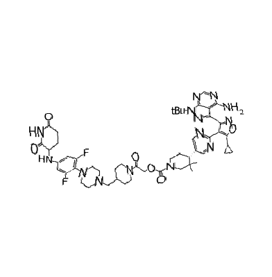 CC1(C)CN(C(=O)OCC(=O)N2CCC(CN3CCN(c4c(F)cc(NC5CCC(=O)NC5=O)cc4F)CC3)CC2)CC[C@@H]1c1cnc(-c2c(-c3nn(C(C)(C)C)c4ncnc(N)c34)noc2C2CC2)nc1